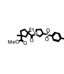 CCC1(C(=O)N2CCC(S(=O)(=O)c3ccc(F)cc3)C2)CCC(C)(C(=O)OC)C1